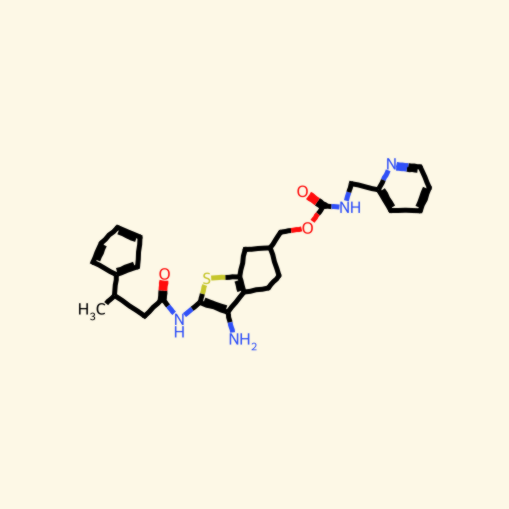 CC(CC(=O)Nc1sc2c(c1N)CCC(COC(=O)NCc1ccccn1)C2)c1ccccc1